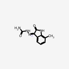 Cc1cccc2c1NC(=O)/C2=N\NC(N)=O